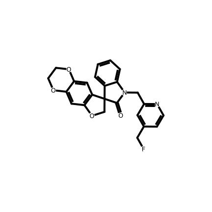 O=C1N(Cc2cc(CF)ccn2)c2ccccc2C12COc1cc3c(cc12)OCCO3